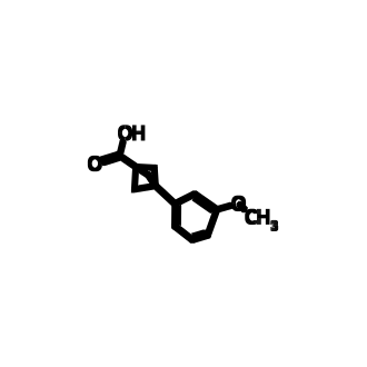 COc1cccc(C23CC(C(=O)O)(C2)C3)c1